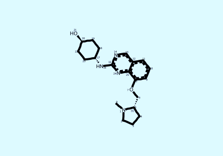 CN1CCC[C@H]1COc1cccc2cnc(N[C@H]3CC[C@H](O)CC3)nc12